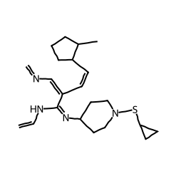 C=CNC(=N/C1CCN(SC2CC2)CC1)/C(/C=C\C1CCCC1C)=C\N=C